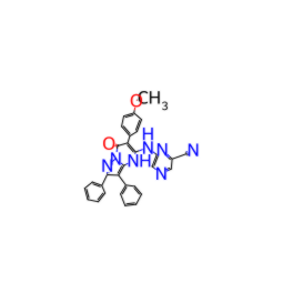 COc1ccc(-c2c(Nc3cncc(C#N)n3)[nH]c3c(-c4ccccc4)c(-c4ccccc4)nn3c2=O)cc1